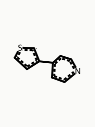 [c]1sccc1-c1ccncc1